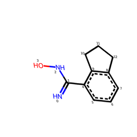 N=C(NO)c1cccc2c1CCC2